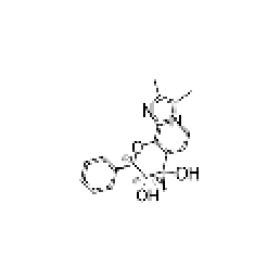 Cc1nc2c3c(ccn2c1C)[C@](C)(O)[C@H](O)[C@@H](c1ccccc1)O3